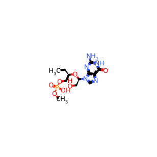 CC[C@H](COP(=O)(O)OC)O[C@H](CO)n1cnc2c(=O)[nH]c(N)nc21